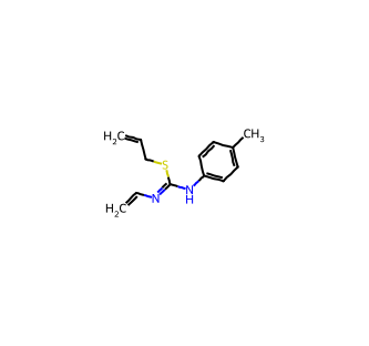 C=CCS/C(=N\C=C)Nc1ccc(C)cc1